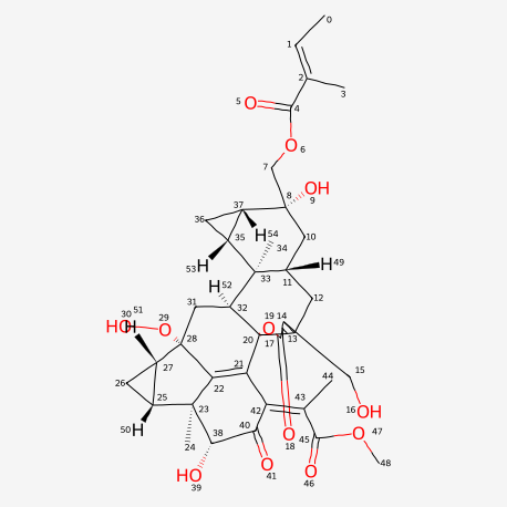 C/C=C(\C)C(=O)OC[C@@]1(O)C[C@@H]2CC3=C(CO)C(=O)O[C@@]34C3=C5[C@](C)([C@@H]6C[C@@H]6[C@@]5(OO)C[C@H]4[C@@]2(C)[C@@H]2C[C@@H]21)[C@@H](O)C(=O)/C3=C(/C)C(=O)OC